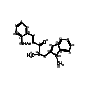 CC(=O)Nc1ncccc1C=CC(=O)N(C)Cc1cc2ccccc2n1C